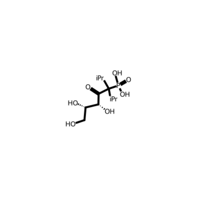 CC(C)C(C(=O)[C@H](O)[C@@H](O)CO)(C(C)C)P(=O)(O)O